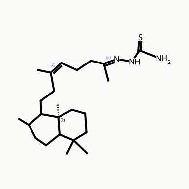 C/C(=C/CC/C(C)=N/NC(N)=S)CCC1C(C)CCC2C(C)(C)CCC[C@]12C